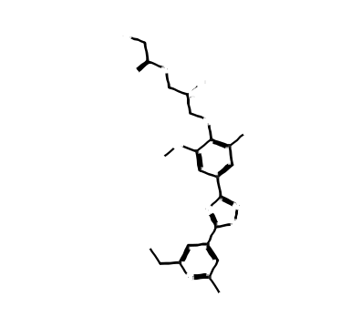 CCc1cc(-c2nc(-c3cc(C)c(OC[C@H](O)CNC(=O)CO)c(OC)c3)no2)cc(C)n1